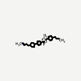 C=CCCc1ccc(C(C)OC(F)(F)c2ccc(C3CCC(CC/C=C/C)CC3)cc2)cc1